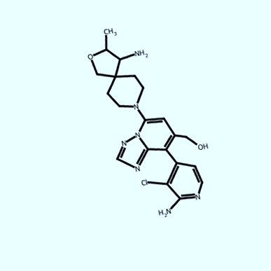 CC1OCC2(CCN(c3cc(CO)c(-c4ccnc(N)c4Cl)c4ncnn34)CC2)C1N